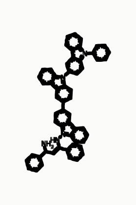 NC(/C=C(\Nn1c2ccccc2c2cc(-c3ccc4c(c3)c3ccccc3n4-c3ccc4c(c3)c3ccccc3n4-c3ccccc3)ccc21)c1ccccc1)c1ccccc1